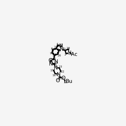 CC(=O)N1CC(n2ncc3ccc(-c4nc(N5CCN(C(=O)OC(C)(C)C)CC5)no4)cc32)C1